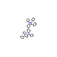 c1ccc(-c2ccc(N(c3ccccc3)c3ccc(-c4ccc5c(c4)c(-c4ccccc4)c(-c4ccccc4)n5-c4ccccc4)cc3)c3ccccc23)cc1